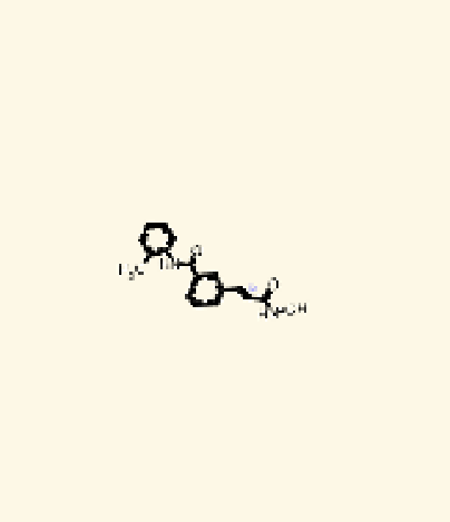 Cc1ccccc1NC(=O)c1cccc(/C=C/C(=O)NO)c1